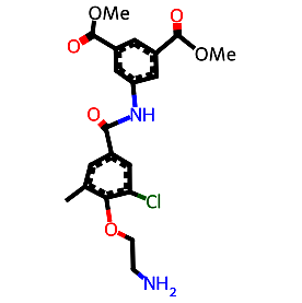 COC(=O)c1cc(NC(=O)c2cc(C)c(OCCN)c(Cl)c2)cc(C(=O)OC)c1